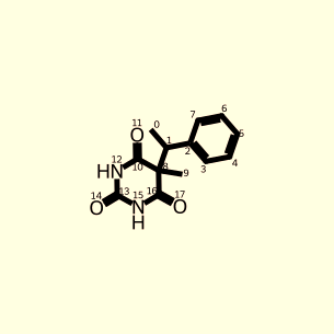 CC(c1ccccc1)C1(C)C(=O)NC(=O)NC1=O